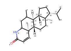 CC1CC2NC(=O)C=C[C@]2(C)[C@H]2CC[C@]3(C)[C@@H](C(C)C)CC[C@H]3[C@H]12